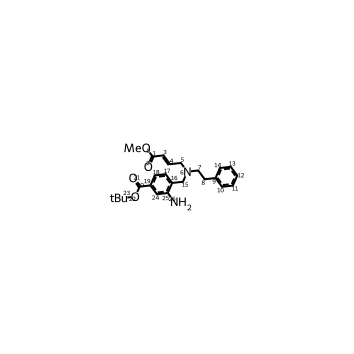 COC(=O)C=CCN(CCc1ccccc1)Cc1ccc(C(=O)OC(C)(C)C)cc1N